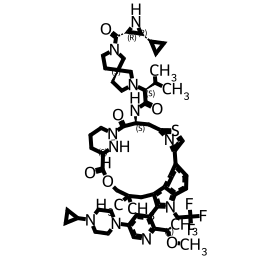 CO[C@@H](C)c1ncc(N2CCN(C3CC3)CC2)cc1-c1c2c3cc(ccc3n1CC(F)(F)F)-c1csc(n1)C[C@H](NC(=O)[C@H](C(C)C)N1CC[C@]3(CCN(C(=O)[C@@H]4N[C@@H]4C4CC4)C3)C1)C(=O)N1CCC[C@H](N1)C(=O)OCC(C)(C)C2